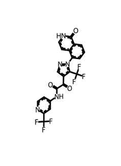 O=C(Nc1ccnc(C(F)(F)F)c1)C(=O)c1cnn(-c2cccc3c(=O)[nH]ccc23)c1C(F)(F)F